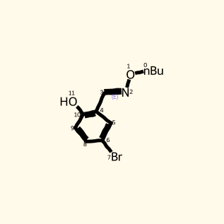 CCCCO/N=C/c1cc(Br)ccc1O